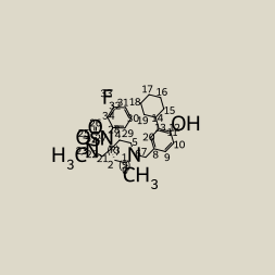 C[C@H]1C[C@]2(CCN1Cc1ccc(O)c(C3CCCCC3)c1)CN(C)S(=O)(=O)N2c1cccc(F)c1